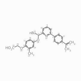 C=C(C)c1ccc(-c2cccc([C@H](CCCC)Oc3ccc(OCC(=O)O)c(C)c3)n2)cc1